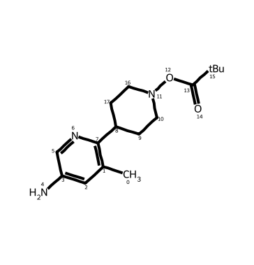 Cc1cc(N)cnc1C1CCN(OC(=O)C(C)(C)C)CC1